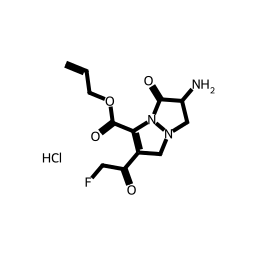 C=CCOC(=O)C1=C(C(=O)CF)CN2CC(N)C(=O)N12.Cl